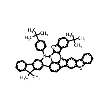 CC(C)(C)c1ccc(N2B3c4oc5ccc(C(C)(C)C)cc5c4-n4c5cc6c(cc5c5ccc(c3c54)-c3cc4c(cc32)-c2ccccc2C4(C)C)sc2ccccc26)cc1